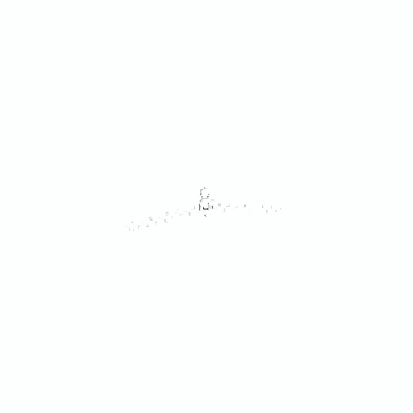 CCCCCCCCCCCCCCCCCCN1Cc2ccccc2CN(CCCCCCCCCCCCCCCCCC)C1=O